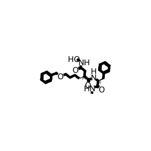 CNC(=O)[C@H](Cc1ccccc1)NC(=O)[C@H](CCCCOCc1ccccc1)CC(=O)NO